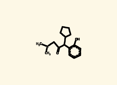 CN(C)CC(=O)C(c1ccccc1O)C1CCCC1